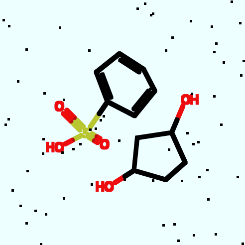 O=S(=O)(O)c1ccccc1.OC1CCC(O)C1